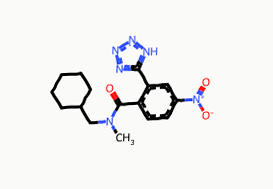 CN(CC1CCCCC1)C(=O)c1ccc([N+](=O)[O-])cc1-c1nnn[nH]1